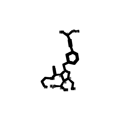 CCCCC[C@H](O)C#Cc1cccc(CN2O[C@@H](CO)[C@@H]([C@H](C)O)[C@H]2C(=O)NCCC(C)C)c1